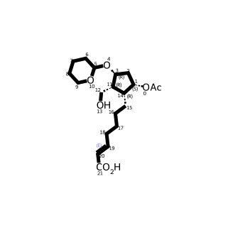 CC(=O)O[C@H]1C[C@@H](OC2CCCCO2)[C@@H](CO)[C@H]1CCCC/C=C/C(=O)O